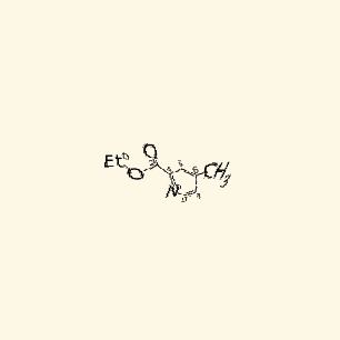 CCOC(=O)c1cc(C)c[c]n1